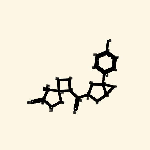 Cc1ccc([C@@]23CC2CN(C(=O)C2CCC24COC(=O)N4)C3)cc1